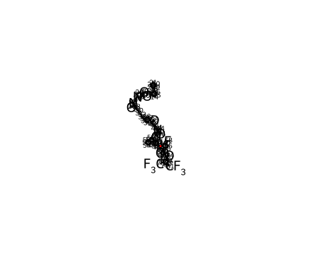 CN(CCN1CCC(OC(=O)Cc2ccccc2-c2ccccc2)CC1)C(=O)CCCCCCc1ccc(C(=O)CCCN(C)C(=O)CO[C@H]2Cc3ccccc3C23CCN(CC[C@@]2(c4ccc(F)cc4)CN(C(=O)c4cc(C(F)(F)F)cc(C(F)(F)F)c4)CO2)CC3)cc1